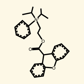 CC(C)[N+](CCOC(=O)C1c2ccccc2Oc2ccccc21)(c1ccccc1)C(C)C